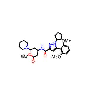 COc1cccc(OC)c1-c1cc(C(=O)NC(CCN2CCCCC2)CC(=O)OC(C)(C)C)nn1C1CCCC1